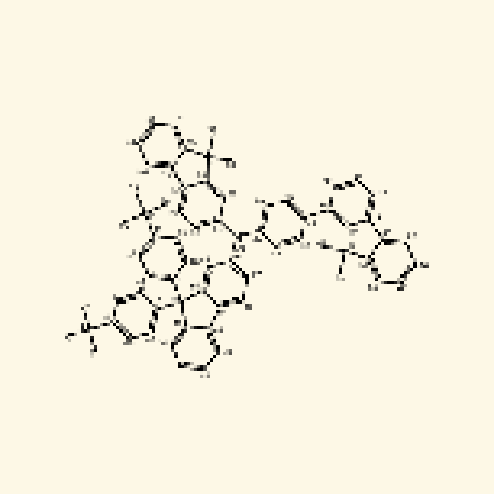 CC(C)(C)c1ccc(C2(c3ccc(C(C)(C)C)cc3)c3ccccc3-c3ccc(N(c4ccc(-c5cccc6c5C(C)(C)c5ccccc5-6)cc4)c4ccc5c(c4)C(C)(C)c4ccccc4-5)cc32)cc1